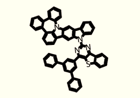 c1ccc(-c2cc(-c3ccccc3)cc(-c3nc(-n4c5ccccc5c5cc6c(cc54)c4cccc5c4n6-c4ccccc4-c4ccccc4-5)nc4c3sc3ccccc34)c2)cc1